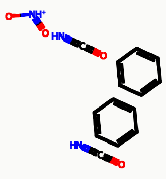 N=C=O.N=C=O.O=[NH+][O-].c1ccccc1.c1ccccc1